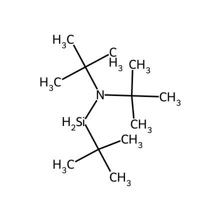 CC(C)(C)[SiH2]N(C(C)(C)C)C(C)(C)C